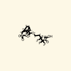 O=C(OCCC(F)(F)C(F)(F)S(=O)(=O)O)C1C2CC3OS(=O)(=O)C1C3C2